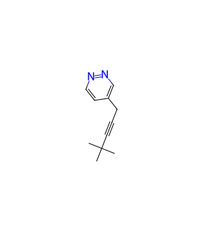 CC(C)(C)C#CCc1ccnnc1